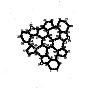 c1cc2oc3c4c2c(c1)c1ccc2c5oc6cccc7c6c5c5c(c4c4c6c8c(oc9cccc(c98)c8ccc3n84)c3ccc7n3c56)n12